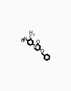 Cc1cc(-n2ccc(OCc3ccccc3)cc2=O)ccc1N=O